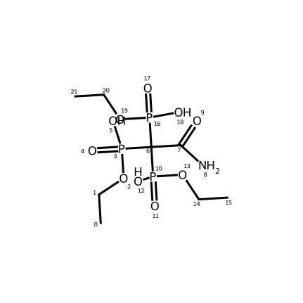 CCOP(=O)(O)C(C(N)=O)(P(=O)(O)OCC)P(=O)(O)OCC